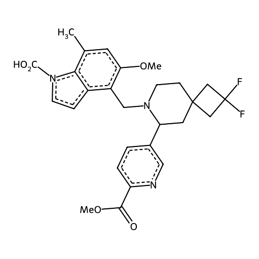 COC(=O)c1ccc(C2CC3(CCN2Cc2c(OC)cc(C)c4c2ccn4C(=O)O)CC(F)(F)C3)cn1